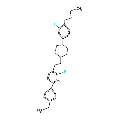 CCCCc1ccc(C2CCC(CCc3ccc(-c4ccc(CC)cc4)c(F)c3F)CC2)cc1F